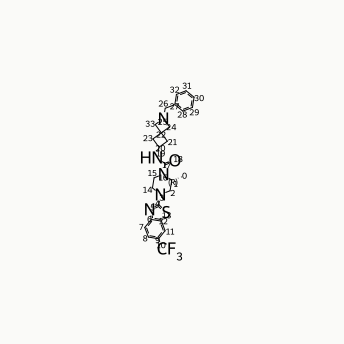 C[C@@H]1CN(c2nc3ccc(C(F)(F)F)cc3s2)CCN1C(=O)NC1CC2(C1)CN(Cc1ccccc1)C2